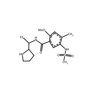 CCC(NC(=O)c1cc(NS(C)(=O)=O)c(C)cc1OC)C1CCCN1